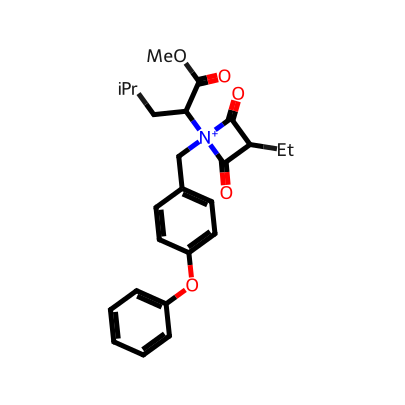 CCC1C(=O)[N+](Cc2ccc(Oc3ccccc3)cc2)(C(CC(C)C)C(=O)OC)C1=O